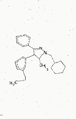 CCc1cccc(C2C(c3ccccc3)=NN(CC3CCCCC3)C2C)c1